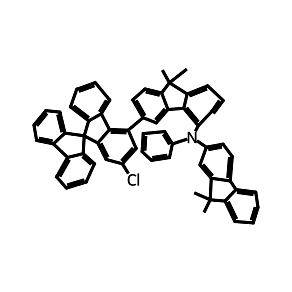 CC1(C)c2ccccc2-c2ccc(N(c3ccccc3)c3cccc4c3-c3cc(-c5cc(Cl)cc6c5-c5ccccc5C65c6ccccc6-c6ccccc65)ccc3C4(C)C)cc21